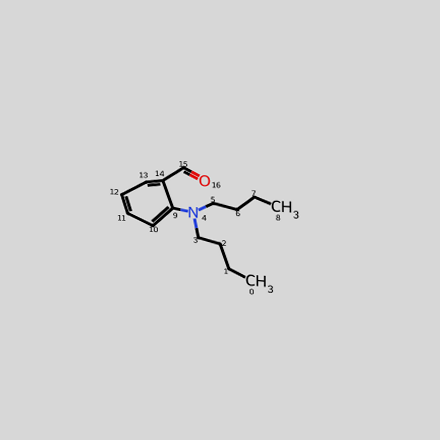 CCCCN(CCCC)c1ccccc1C=O